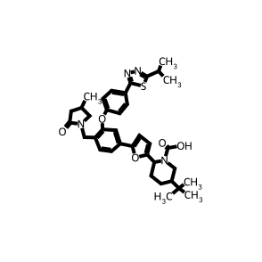 CC1CC(=O)N(Cc2ccc(-c3ccc(C4CCC(C(C)(C)C)CN4C(=O)O)o3)cc2Oc2ccc(-c3nnc(C(C)C)s3)cc2)C1